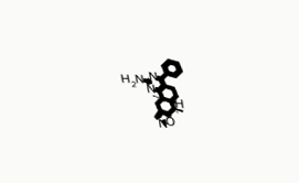 C[C@H]1c2oncc2C[C@@]2(C)c3nc(N)nc(-c4ccccc4)c3CC[C@H]12